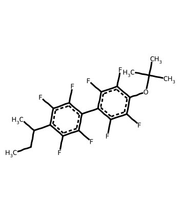 CCC(C)c1c(F)c(F)c(-c2c(F)c(F)c(OC(C)(C)C)c(F)c2F)c(F)c1F